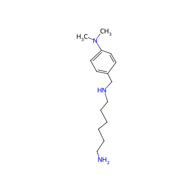 CN(C)c1ccc(CNCCCCCCN)cc1